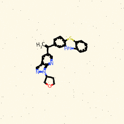 C=C(c1ccc2c(c1)Nc1ccccc1S2)c1cnc2c(cnn2C2CCOC2)c1